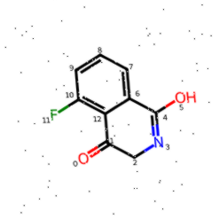 O=C1CN=C(O)c2cccc(F)c21